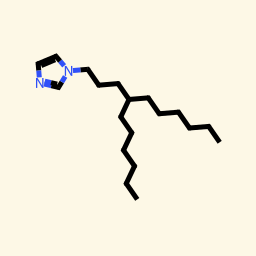 CCCCCCC(CCCCCC)CCCn1ccnc1